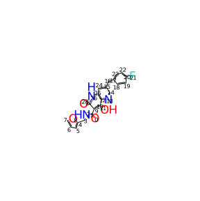 O=C(NCc1ccco1)c1c(O)c2ncc(Cc3ccc(F)cc3)cc2[nH]c1=O